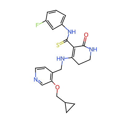 O=C1NCCC(NCc2ccncc2OCC2CC2)=C1C(=S)Nc1cccc(F)c1